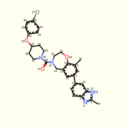 Cc1nc2ccc(-c3cc(C)c4c(c3)CN(C(=O)N3CCC(Oc5ccc(Cl)cc5)CC3)CCO4)cc2[nH]1